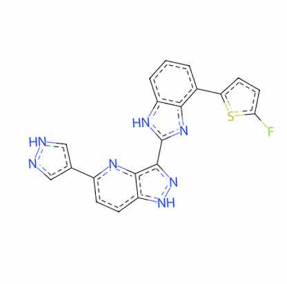 Fc1ccc(-c2cccc3[nH]c(-c4n[nH]c5ccc(-c6cn[nH]c6)nc45)nc23)s1